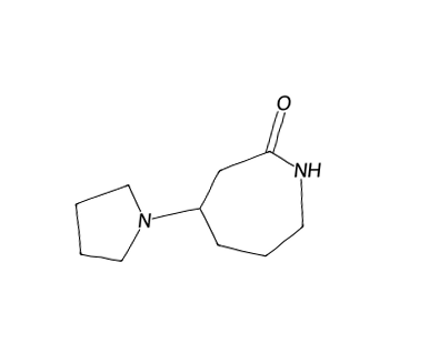 O=C1CC(N2CCCC2)CCCN1